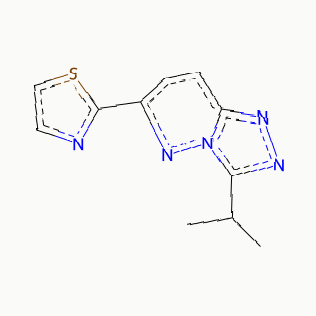 CC(C)c1nnc2ccc(-c3nccs3)nn12